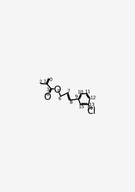 C=C(C)C(=O)OCC=Cc1cccc(Cl)c1